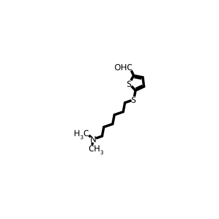 CN(C)CCCCCCSc1ccc(C=O)s1